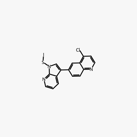 Clc1ccnc2ccc(-c3cn(SI)c4ncccc34)cc12